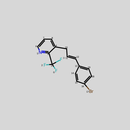 FC(F)(F)c1nc[c]cc1CC=Cc1ccc(Br)cc1